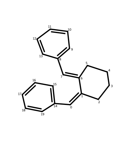 C(=C1\CCCC\C1=C/c1ccccc1)/c1ccccc1